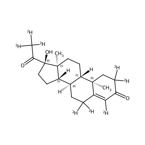 [2H]C1=C2C([2H])([2H])C[C@@H]3[C@H](CC[C@@]4(C)[C@H]3CC[C@]4(O)C(=O)C([2H])([2H])[2H])[C@@]2(C)CC([2H])([2H])C1=O